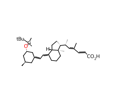 CC(/C=C/C(=O)O)=C\[C@@H](C)[C@H]1CC[C@H]2/C(=C/C=C3/C[C@@H](C)C[C@H](O[Si](C)(C)C(C)(C)C)C3)CCC[C@]12C